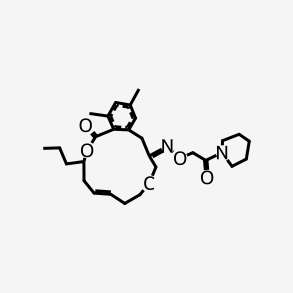 CCCC1C/C=C/CCCC/C(=N\OCC(=O)N2CCCCC2)Cc2cc(C)cc(C)c2C(=O)O1